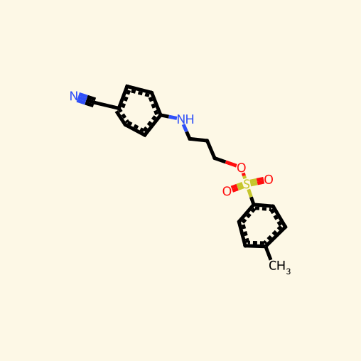 Cc1ccc(S(=O)(=O)OCCCNc2ccc(C#N)cc2)cc1